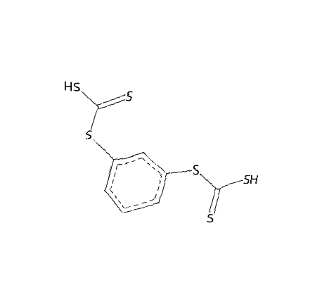 S=C(S)Sc1cccc(SC(=S)S)c1